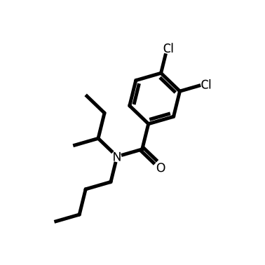 CCCCN(C(=O)c1ccc(Cl)c(Cl)c1)C(C)CC